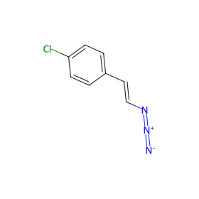 [N-]=[N+]=NC=Cc1ccc(Cl)cc1